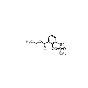 CCOC(=O)c1cccc(NS(C)(=O)=O)c1Cl